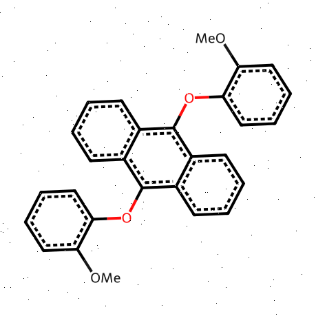 COc1ccccc1Oc1c2ccccc2c(Oc2ccccc2OC)c2ccccc12